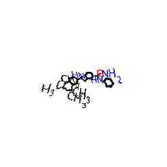 CC1(C)CCC(C)(C)c2cc(-c3cc4cc(C(=O)Nc5ccccc5N)ccc4[nH]3)ccc21